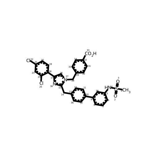 CS(=O)(=O)Nc1cccc(-c2ccc(Cc3nc(-c4ccc(Cl)cc4Cl)cn3Cc3ccc(C(=O)O)cc3)cc2)c1